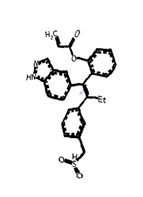 C=CC(=O)Oc1ccccc1/C(=C(\CC)c1cccc(C[SH](=O)=O)c1)c1ccc2[nH]ncc2c1